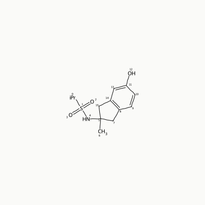 CC(C)S(=O)(=O)NC1(C)Cc2ccc(O)cc2C1